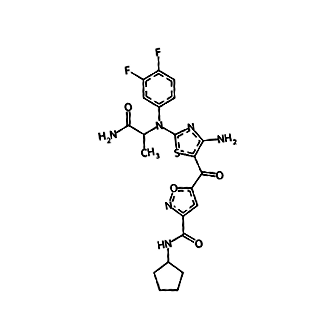 CC(C(N)=O)N(c1ccc(F)c(F)c1)c1nc(N)c(C(=O)c2cc(C(=O)NC3CCCC3)no2)s1